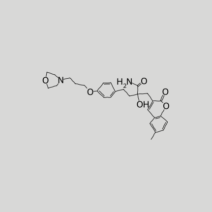 Cc1ccc2oc(=O)c(CC(O)(CCc3ccc(OCCCN4CCOCC4)cc3)C(N)=O)cc2c1